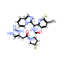 CC(C)c1ccc(C(NC(=O)[C@@H]2C[C@@H](F)CN2C(=O)CC2=CNNN2)c2ncc3ccccn23)nc1F